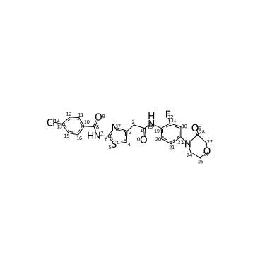 O=C(Cc1csc(NC(=O)c2ccc(Cl)cc2)n1)Nc1ccc(N2CCOCC2=O)cc1F